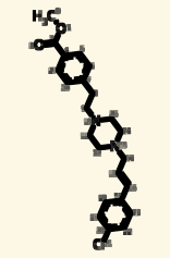 COC(=O)c1ccc(CCN2CCN(C/C=C/c3ccc(Cl)cc3)CC2)cc1